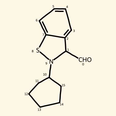 O=CC1c2ccccc2SN1C1CCCCC1